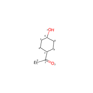 CCC(=O)C1CCC(O)CC1